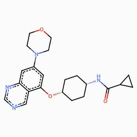 O=C(N[C@H]1CC[C@@H](Oc2cc(N3CCOCC3)cc3ncncc23)CC1)C1CC1